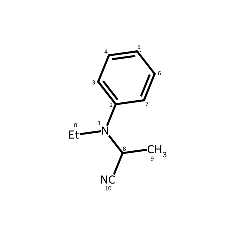 CCN(c1cc[c]cc1)C(C)C#N